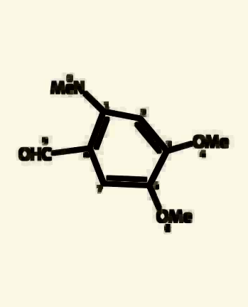 CNc1cc(OC)c(OC)cc1C=O